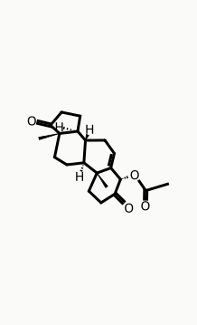 CC(=O)O[C@@H]1C(=O)CC[C@@]2(C)C1=CC[C@@H]1[C@@H]2CC[C@]2(C)C(=O)CC[C@@H]12